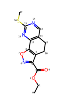 CCOC(=O)c1noc2c1CCc1cnc(SC)nc1-2